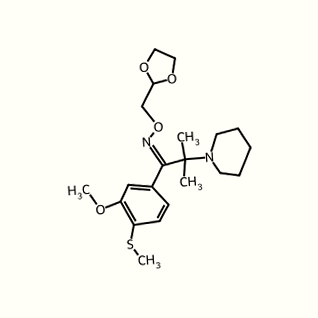 COc1cc(C(=NOCC2OCCO2)C(C)(C)N2CCCCC2)ccc1SC